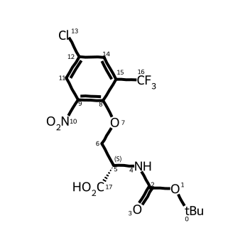 CC(C)(C)OC(=O)N[C@@H](COc1c([N+](=O)[O-])cc(Cl)cc1C(F)(F)F)C(=O)O